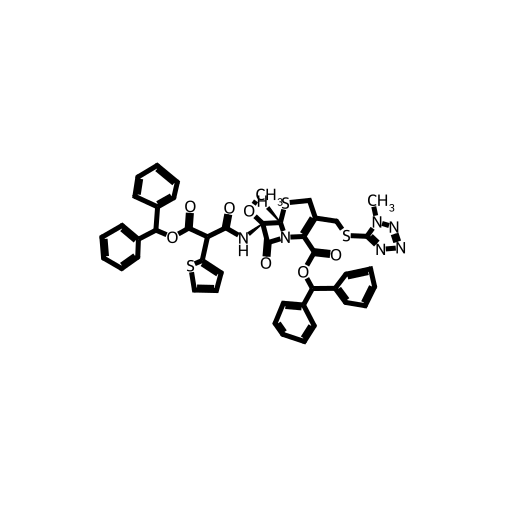 CO[C@@]1(NC(=O)C(C(=O)OC(c2ccccc2)c2ccccc2)c2cccs2)C(=O)N2C(C(=O)OC(c3ccccc3)c3ccccc3)=C(CSc3nnnn3C)CS[C@H]21